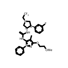 C=C(Nc1c(C)c(OCCOC)nn1-c1ccccc1)N[C@@H]1CN(CC(F)(F)F)C[C@H]1c1cccc(F)c1